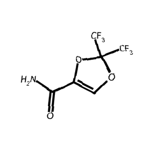 NC(=O)C1=COC(C(F)(F)F)(C(F)(F)F)O1